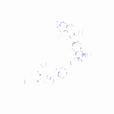 CC1CN(C(=O)c2ccc(/C=C/c3n[nH]c4ccc(O[C@H](C)c5c(Cl)cncc5Cl)cc34)cn2)CC(C)N1